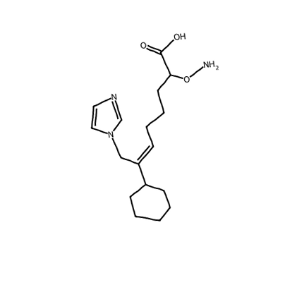 NOC(CCCC=C(Cn1ccnc1)C1CCCCC1)C(=O)O